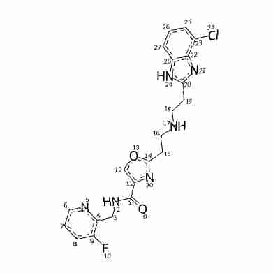 O=C(NCc1ncccc1F)c1coc(CCNCCc2nc3c(Cl)cccc3[nH]2)n1